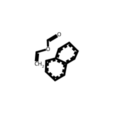 C=COC=O.c1ccc2ccccc2c1